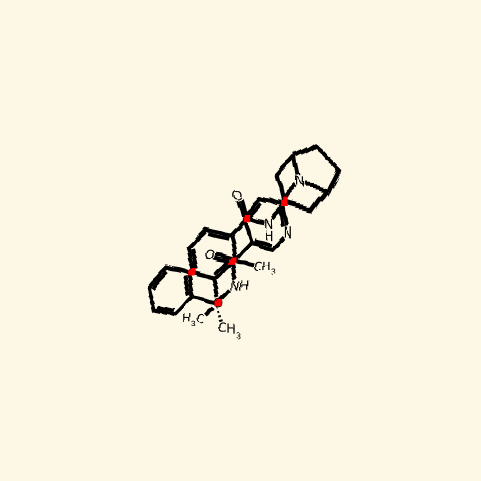 COc1cccc(C(=O)NC2CC3CCC(C2)N3c2ccc(C(=O)N[C@H](C)c3ccccc3)cn2)c1C